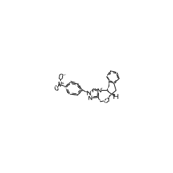 O=[N+]([O-])c1ccc(-[n+]2cn3c(n2)CO[C@H]2Cc4ccccc4C23)cc1